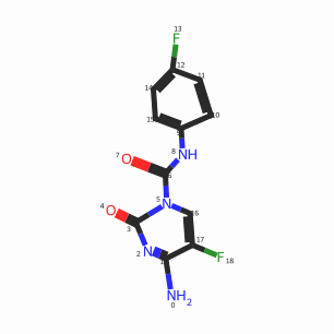 Nc1nc(=O)n(C(=O)Nc2ccc(F)cc2)cc1F